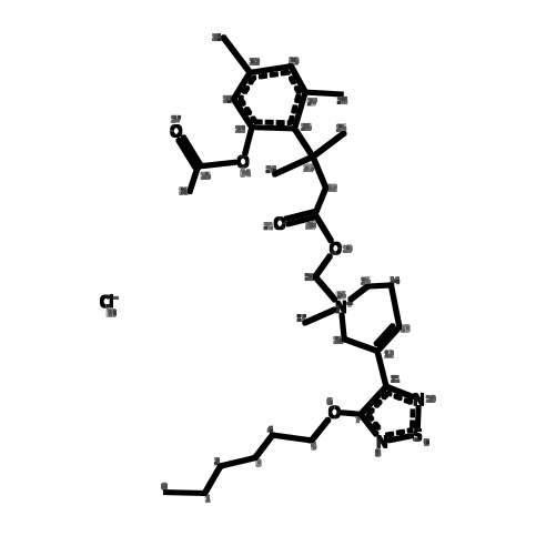 CCCCCCOc1nsnc1C1=CCC[N+](C)(COC(=O)CC(C)(C)c2c(C)cc(C)cc2OC(C)=O)C1.[Cl-]